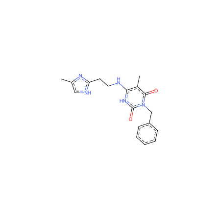 Cc1c[nH]c(CCNc2[nH]c(=O)n(Cc3ccccc3)c(=O)c2C)n1